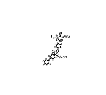 CCCCCCCCCOC1(C(=O)Oc2ccc(C(=O)OC(C(=O)OCCCC)C(F)(F)F)cc2)C=CC(c2ccccc2)=CC1